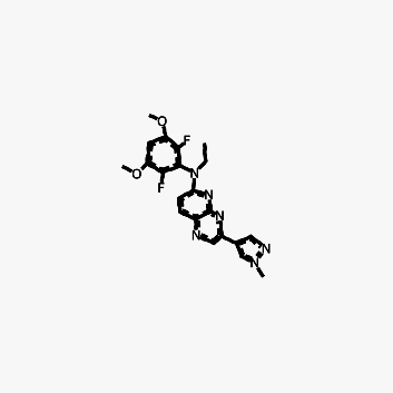 CCN(c1ccc2ncc(-c3cnn(C)c3)nc2n1)c1c(F)c(OC)cc(OC)c1F